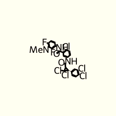 CNc1c(F)ccc(NC(=O)c2cc(NC(=O)C3[C@H](c4ccc(Cl)c(Cl)c4)C3(Cl)Cl)ccc2Cl)c1F